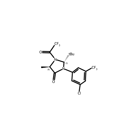 C[C@@H]1C(=O)N(c2cc(Cl)cc(C(F)(F)F)c2)[C@@H](C(C)(C)C)N1C(=O)C(F)(F)F